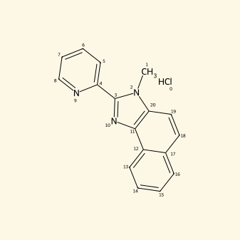 Cl.Cn1c(-c2ccccn2)nc2c3ccccc3ccc21